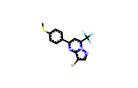 CSc1ccc(-c2cc(C(F)(F)F)n3ncc(Br)c3n2)cc1